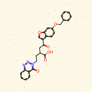 O=C(CC(CCn1nnc2ccccc2c1=O)C(=O)O)c1coc2cc(OCc3ccccc3)ccc12